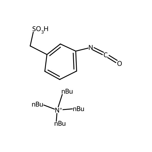 CCCC[N+](CCCC)(CCCC)CCCC.O=C=Nc1cccc(CS(=O)(=O)O)c1